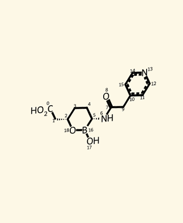 O=C(O)C[C@@H]1CC[C@H](NC(=O)Cc2ccncc2)B(O)O1